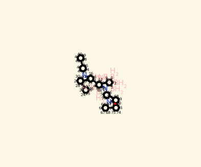 Bc1c(B)c(B)c2c(c1B)c1c(B)c(-c3ccc4c(c3)c3c(-c5ccccc5)cccc3n4-c3ccc(-c4ccccc4)cc3)c(B)c(B)c1n2-c1ccc2c(c1)c1ccccc1n2-c1ccccc1-c1ccccc1